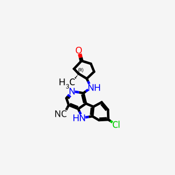 C[C@@H]1CC(=O)CCC1Nc1ncc(C#N)c2[nH]c3cc(Cl)ccc3c12